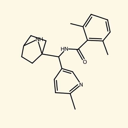 Cc1ccc(C(NC(=O)c2c(C)cccc2C)C23CCC(CC2)N3)cn1